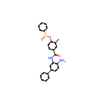 Cc1cc(C(=O)Nc2cc(-c3ccccc3)ccc2N)ccc1O[PH](=O)c1ccccc1